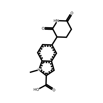 Cn1c(C(=O)O)cc2cc(C3CCC(=O)NC3=O)ccc21